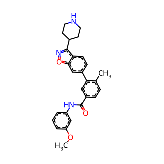 COc1cccc(NC(=O)c2ccc(C)c(-c3ccc4c(C5CCNCC5)noc4c3)c2)c1